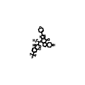 CC(C(=O)Nc1ccc(C(F)(F)F)cc1Cl)n1c2c(c(=O)n3nc(C4=CCOCC4)nc13)C1(CCNCC1)CC2